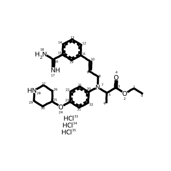 CCOC(=O)C(C)N(C/C=C/c1cccc(C(=N)N)c1)c1ccc(OC2CCNCC2)cc1.Cl.Cl.Cl